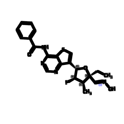 CC[C@@]1(/C=N/O)O[C@@H](c2csc3c(NC(=O)c4ccccc4)ncnc23)[C@H](F)[C@@H]1C